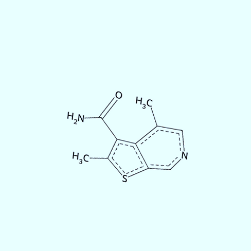 Cc1sc2cncc(C)c2c1C(N)=O